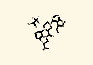 CCc1n[nH]c2ncnc(N3CCN(c4cccc(Cl)c4)C(C(=O)NCCN(C)C)C3)c12.O=C(O)C(F)(F)F